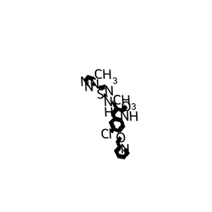 Cc1cnnn1-c1cnc(NC(C)c2cc3cc(Cl)c(OCc4ccccn4)cc3[nH]c2=O)s1